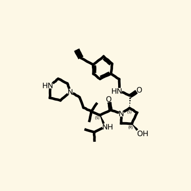 C#Cc1ccc(CNC(=O)[C@@H]2C[C@@H](O)CN2C(=O)[C@@H](NC(C)C)C(C)(C)CCN2CCNCC2)cc1